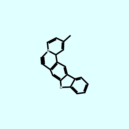 CC1=CC2c3cc4c(cc3C#CN2C=C1)oc1ccccc14